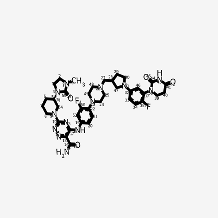 CN1CCN([C@@H]2CCCN(c3nnc(C(N)=O)c(Nc4ccc(N5CCN(CC6CCN(c7ccc(F)c(N8CCC(=O)NC8=O)c7)C6)CC5)c(F)c4)n3)C2)C1=O